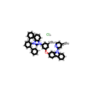 CC(C)(C)c1cc(Oc2ccc3c4ccccc4n(-c4cc(C(C)(C)C)ccn4)c3c2)cc(-[n+]2cn(-c3c(-c4ccccc4)cccc3-c3ccccc3)c3ccccc32)c1.[Cl-]